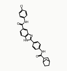 O=C(Nc1ccc(Cl)cc1)c1ccc2[nH]c(-c3ccc(NC(=O)C4CC5CCC4C5)cc3)nc2c1